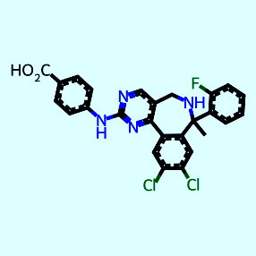 CC1(c2ccccc2F)NCc2cnc(Nc3ccc(C(=O)O)cc3)nc2-c2cc(Cl)c(Cl)cc21